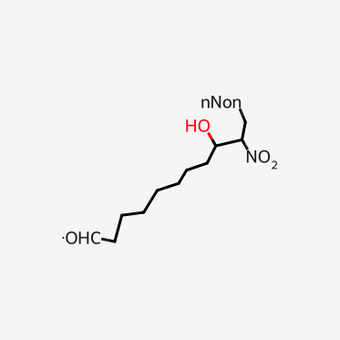 CCCCCCCCCCC(C(O)CCCCCCC[C]=O)[N+](=O)[O-]